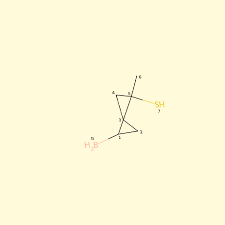 BC1CC12CC2(C)S